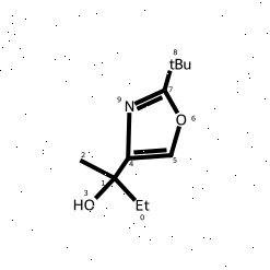 CCC(C)(O)c1coc(C(C)(C)C)n1